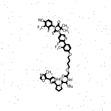 Cc1ncoc1-c1c[nH]c(C2CCCN2C(=O)C(NC(=O)COCCCCOc2ccc(-c3ncc(N4C(=S)N(c5ccc(C#N)c(C(F)(F)F)c5F)C(=O)C4(C)C)cc3F)c(C(F)(F)F)c2)C(C)(C)C)n1